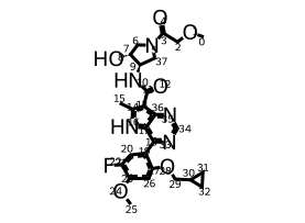 COCC(=O)N1C[C@@H](O)[C@H](NC(=O)c2c(C)[nH]c3c(-c4cc(F)c(OC)cc4OCC4CC4)ncnc23)C1